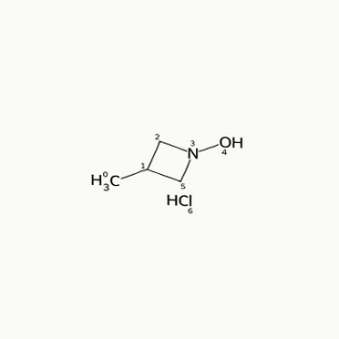 CC1CN(O)C1.Cl